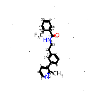 Cc1ncccc1-c1cccc(CCNC(=O)c2ccccc2C(F)(F)F)c1